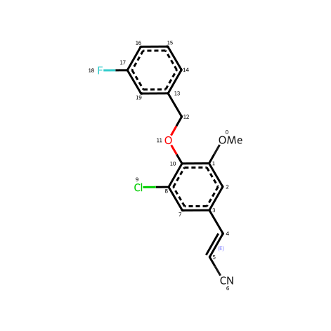 COc1cc(/C=C/C#N)cc(Cl)c1OCc1cccc(F)c1